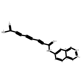 O=C(S)C#CC#CC#CC(=O)Nc1ccc2cnncc2c1